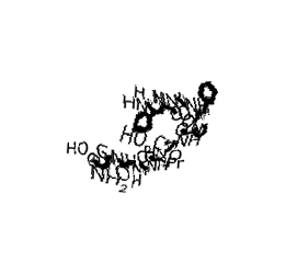 CC(C)[C@H](NC(=O)[C@H](CC(=O)O)NC(=O)[C@@H]1CCCN1C(=O)[C@H](Cc1ccccc1)NC(=O)[C@H](C)NC(=O)[C@@H](N)Cc1c[nH]c2ccccc12)C(=O)N[C@@H](C)C(=O)NCC(=O)N[C@@H](CC(N)=O)C(=O)O